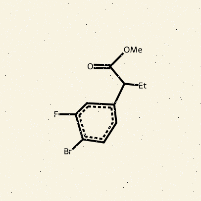 CCC(C(=O)OC)c1ccc(Br)c(F)c1